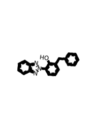 Oc1c(Cc2ccccc2)cccc1-n1nc2ccccc2n1